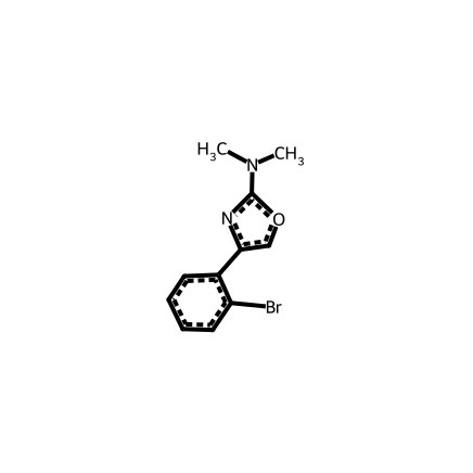 CN(C)c1nc(-c2ccccc2Br)co1